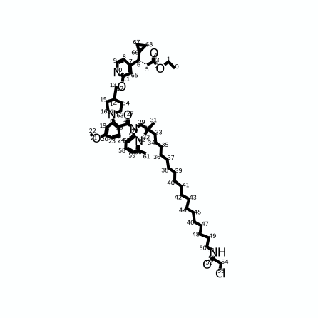 CCOC(=O)C[C@H](c1ccnc(OCC2CCN(c3cc(OC)ccc3C(=O)N(CC(C)(C)CCCCCCCCCCCCCCCCCCNC(=O)CCl)c3cccc(C)n3)CC2)c1)C1CC1